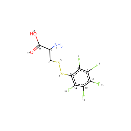 NC(CSSc1c(F)c(F)c(F)c(F)c1F)C(=O)O